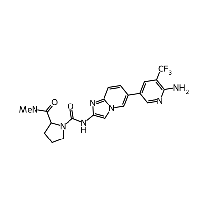 CNC(=O)C1CCCN1C(=O)Nc1cn2cc(-c3cnc(N)c(C(F)(F)F)c3)ccc2n1